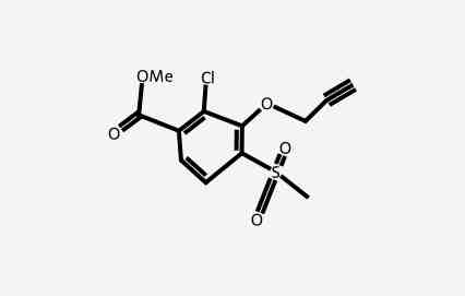 C#CCOc1c(S(C)(=O)=O)ccc(C(=O)OC)c1Cl